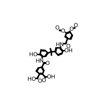 CC(C)(c1ccc(O)c(NC(=O)c2ccc(OC=O)c(OC=O)c2)c1)c1ccc(O)c(NC(=O)c2ccc(C(=O)O)c(C(=O)O)c2)c1